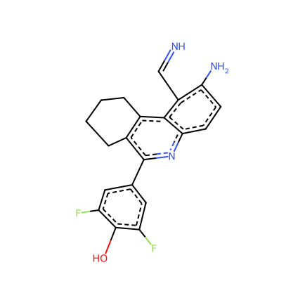 N=Cc1c(N)ccc2nc(-c3cc(F)c(O)c(F)c3)c3c(c12)CCCC3